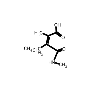 C.C.CNC(=O)/C(C)=C(/C)C(=O)O